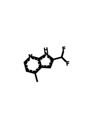 Cc1ccnc2[nH]c(C(F)F)cc12